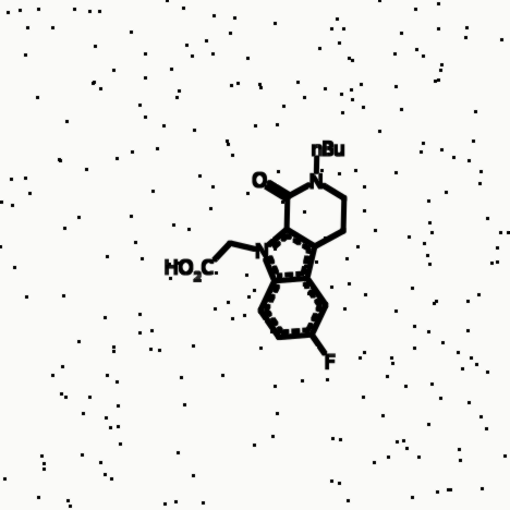 CCCCN1CCc2c(n(CC(=O)O)c3ccc(F)cc23)C1=O